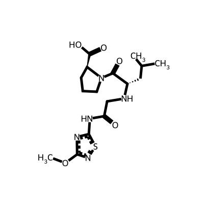 COc1nsc(NC(=O)CN[C@@H](CC(C)C)C(=O)N2CCC[C@H]2C(=O)O)n1